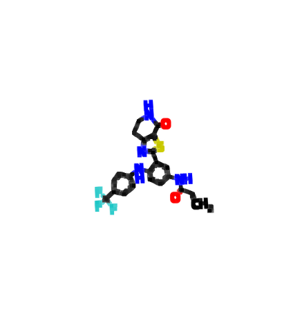 C=CC(=O)Nc1ccc(Nc2ccc(C(F)(F)F)cc2)c(-c2nc3c(s2)C(=O)NCC3)c1